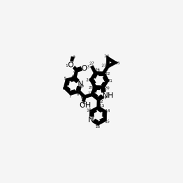 COC(=O)c1cccc(C(O)c2c(-c3cccnc3)[nH]c3cc(C4CC4)c(C)cc23)n1